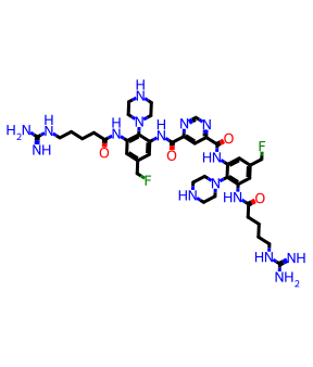 N=C(N)NCCCCC(=O)Nc1cc(CF)cc(NC(=O)c2cc(C(=O)Nc3cc(CF)cc(NC(=O)CCCCNC(=N)N)c3N3CCNCC3)ncn2)c1N1CCNCC1